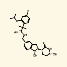 CC(C)Oc1cc(F)ccc1C(F)(F)[C@@H](O)NCc1ccc2c(c1)CN(C1CC[C@@H](O)NC1=O)[C@H]2O